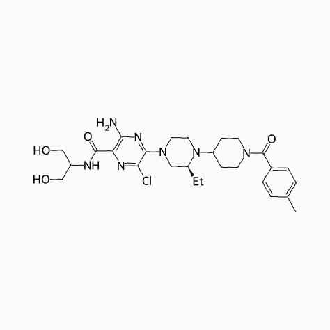 CC[C@H]1CN(c2nc(N)c(C(=O)NC(CO)CO)nc2Cl)CCN1C1CCN(C(=O)c2ccc(C)cc2)CC1